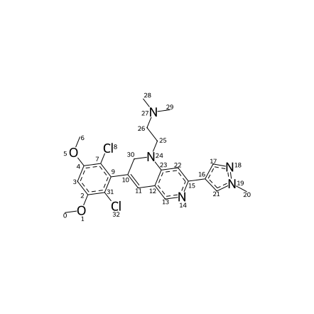 COc1cc(OC)c(Cl)c(C2=Cc3cnc(-c4cnn(C)c4)cc3N(CCN(C)C)C2)c1Cl